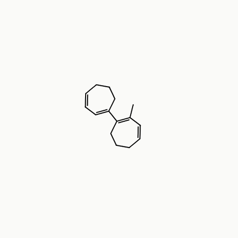 CC1=C(C2=CC=CCCC2)CCCC=C1